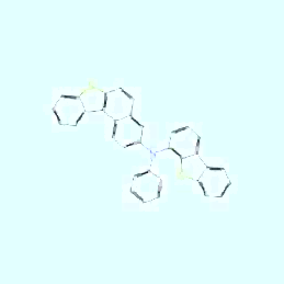 c1ccc(N(c2ccc3c(ccc4sc5ccccc5c43)c2)c2cccc3c2sc2ccccc23)cc1